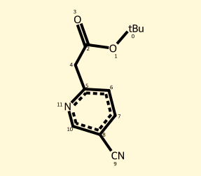 CC(C)(C)OC(=O)Cc1ccc(C#N)cn1